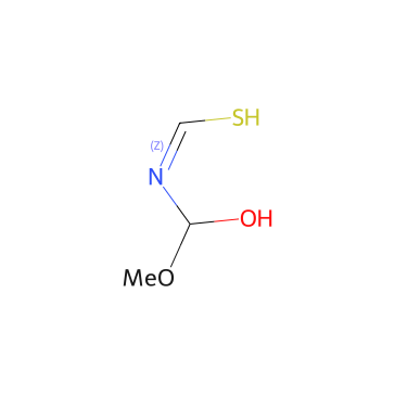 COC(O)/N=C\S